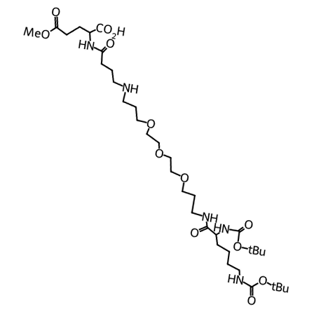 COC(=O)CCC(NC(=O)CCCNCCCOCCOCCOCCCNC(=O)C(CCCCNC(=O)OC(C)(C)C)NC(=O)OC(C)(C)C)C(=O)O